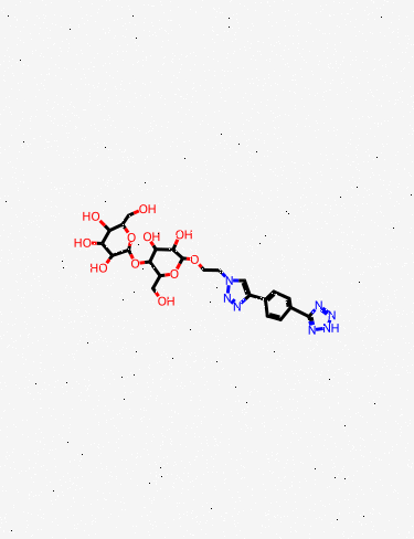 OCC1OC(OC2C(CO)OC(OCCn3cc(-c4ccc(-c5nn[nH]n5)cc4)nn3)C(O)C2O)C(O)C(O)C1O